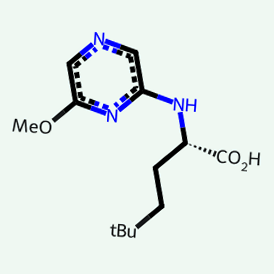 COc1cncc(N[C@@H](CCC(C)(C)C)C(=O)O)n1